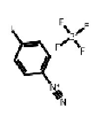 F[B-](F)(F)F.N#[N+]c1ccc(I)cc1